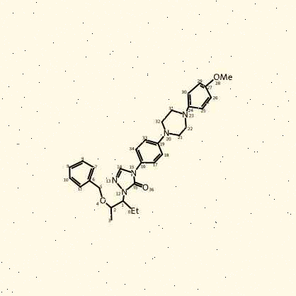 CCC(C(C)OCc1ccccc1)n1ncn(-c2ccc(N3CCN(c4ccc(OC)cc4)CC3)cc2)c1=O